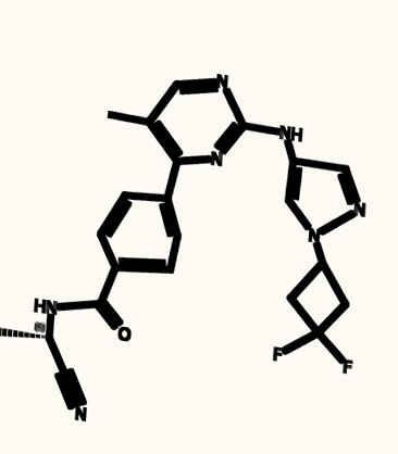 Cc1cnc(Nc2cnn(C3CC(F)(F)C3)c2)nc1-c1ccc(C(=O)N[C@@H](C)C#N)cc1